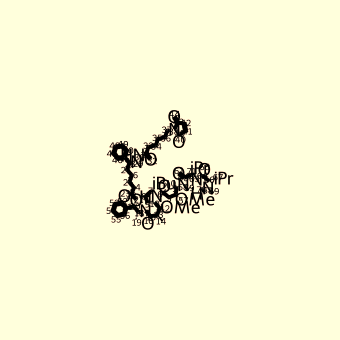 CC[C@H](C)[C@@H]([C@@H](CC(=O)N1CCC[C@H]1[C@H](OC)[C@@H](C)C(=O)N[C@H](C)[C@@H](OC(=O)CCCC/C(=N/NC(=O)CCCCCN1C(=O)C=CC1=O)c1ccccc1)c1ccccc1)OC)N(C)C(=O)[C@@H](NC(=O)[C@H](C(C)C)N(C)C)C(C)C